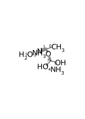 CC#N.N.N.O.O=C(O)O